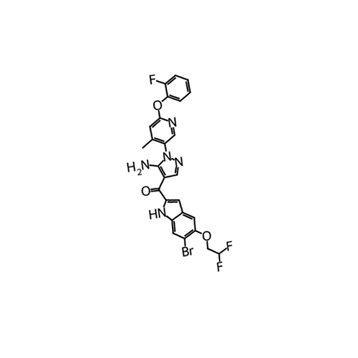 Cc1cc(Oc2ccccc2F)ncc1-n1ncc(C(=O)c2cc3cc(OCC(F)F)c(Br)cc3[nH]2)c1N